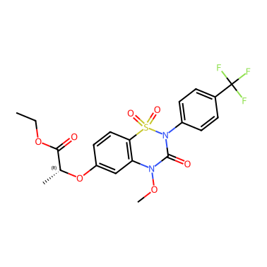 CCOC(=O)[C@@H](C)Oc1ccc2c(c1)N(OC)C(=O)N(c1ccc(C(F)(F)F)cc1)S2(=O)=O